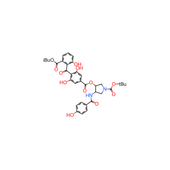 CC(C)COC(=O)c1cccc(O)c1C(=O)c1c(O)cc(C(=O)OC2CN(C(=O)OC(C)(C)C)CC2NC(=O)c2ccc(O)cc2)cc1O